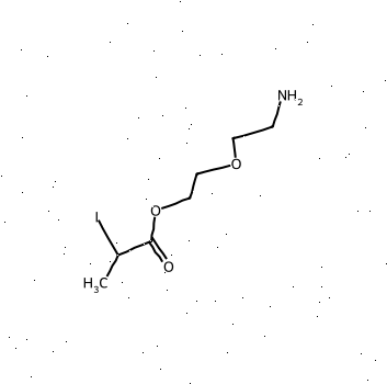 CC(I)C(=O)OCCOCCN